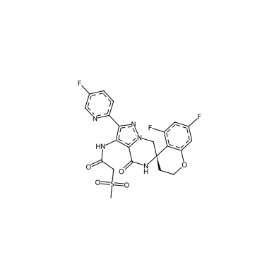 CS(=O)(=O)CC(=O)Nc1c(-c2ccc(F)cn2)nn2c1C(=O)N[C@]1(CCOc3cc(F)cc(F)c31)C2